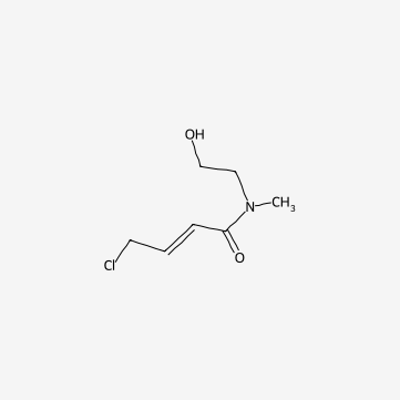 CN(CCO)C(=O)C=CCCl